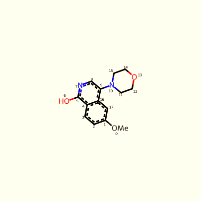 COc1ccc2c(O)ncc(N3CCOCC3)c2c1